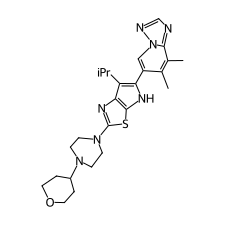 Cc1c(-c2[nH]c3sc(N4CCN(C5CCOCC5)CC4)nc3c2C(C)C)cn2ncnc2c1C